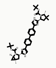 C[C@H]1N(C(=O)OC(C)(C)C)[C@H](c2nc(-c3ccc(-c4ccc(-c5c[nH]c([C@@H]6C[C@@]7(C)C[C@H]7N6C(=O)OC(C)(C)C)n5)cc4)cc3)c[nH]2)CC1(C)C